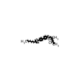 CCCCCCCc1cnc(-c2ccc(-c3ccc(OC(=O)CC(C)OC[C@H](Cl)CC)cc3)cc2)nc1